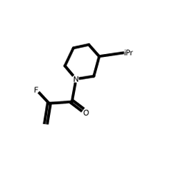 C=C(F)C(=O)N1CCCC(C(C)C)C1